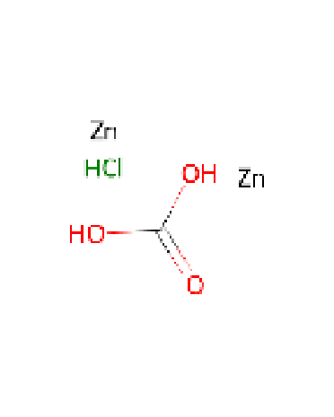 Cl.O=C(O)O.[Zn].[Zn]